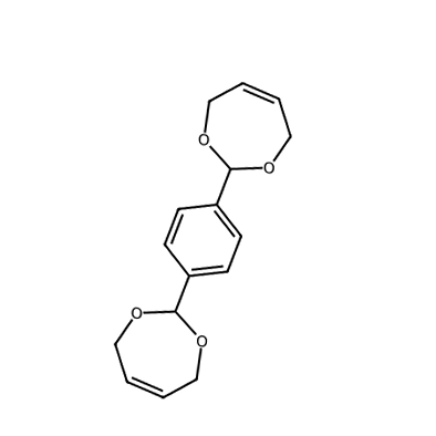 C1=CCOC(c2ccc(C3OCC=CCO3)cc2)OC1